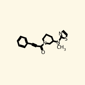 CN(c1nccs1)C1CCCN(C(=O)C#Cc2ccccc2)C1